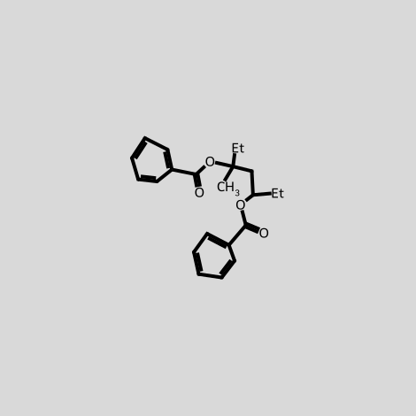 CCC(CC(C)(CC)OC(=O)c1ccccc1)OC(=O)c1ccccc1